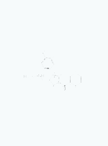 O=C(O)NC[C@H]1CN(C(=O)C2CCCOC2)C[C@H]1c1ccc(Cl)cc1